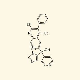 CCc1nc2ccc(C(O)(c3ccncc3)c3cncn3C)cc2c(CC)c1-c1ccccc1